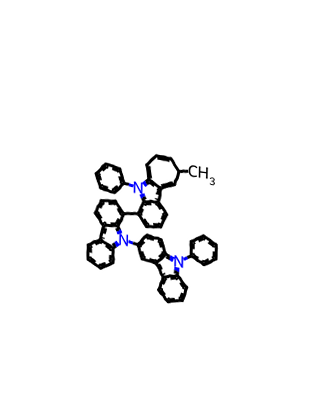 CC1C=CC=c2c(c3cccc(-c4cccc5c6ccccc6n(-c6ccc7c(c6)c6ccccc6n7-c6ccccc6)c45)c3n2-c2ccccc2)=C1